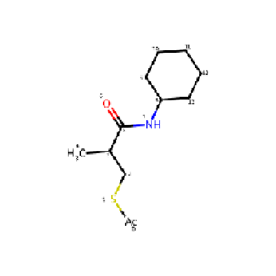 CC(=O)SCC(C)C(=O)NC1CCCCC1